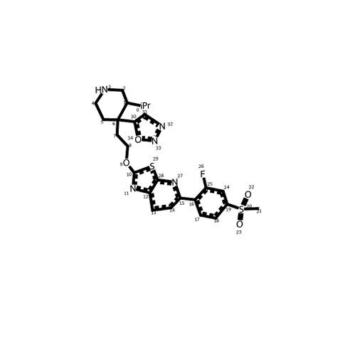 CC(C)C1CNCCC1(CCOc1nc2ccc(-c3ccc(S(C)(=O)=O)cc3F)nc2s1)c1cnno1